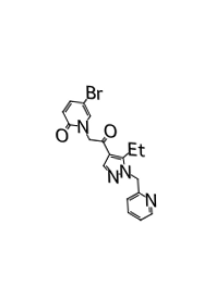 CCc1c(C(=O)Cn2cc(Br)ccc2=O)cnn1Cc1ccccn1